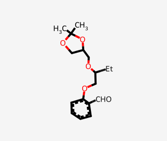 CCC(COc1ccccc1C=O)OCC1COC(C)(C)O1